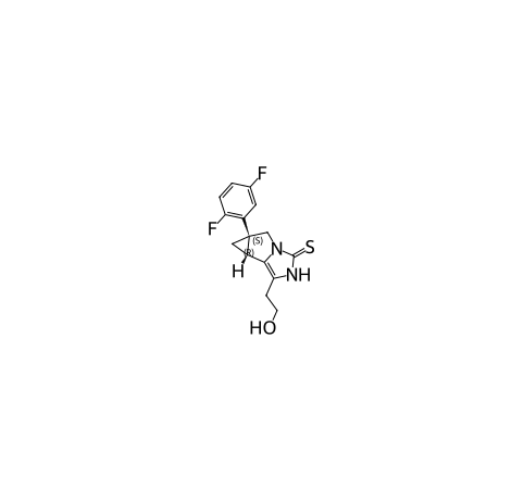 OCCc1[nH]c(=S)n2c1[C@@H]1C[C@]1(c1cc(F)ccc1F)C2